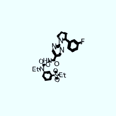 CCN(C(=O)ONC(=O)c1cnc(N2CCCC2c2cccc(F)c2)nc1)c1cccc(S(=O)(=O)CC)c1